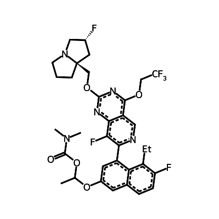 CCc1c(F)ccc2cc(OC(C)OC(=O)N(C)C)cc(-c3ncc4c(OCC(F)(F)F)nc(OC[C@@]56CCCN5C[C@H](F)C6)nc4c3F)c12